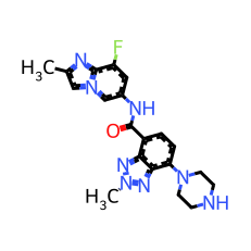 Cc1cn2cc(NC(=O)c3ccc(N4CCNCC4)c4nn(C)nc34)cc(F)c2n1